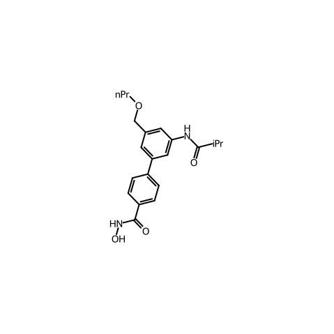 CCCOCc1cc(NC(=O)C(C)C)cc(-c2ccc(C(=O)NO)cc2)c1